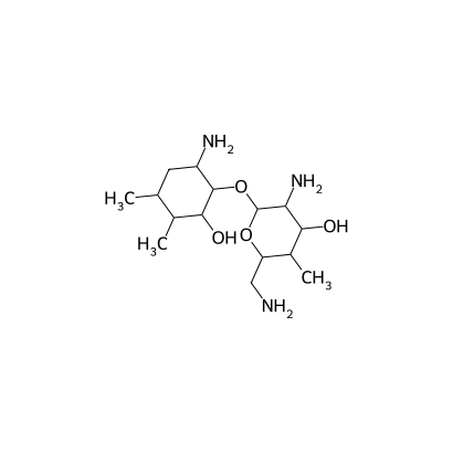 CC1CC(N)C(OC2OC(CN)C(C)C(O)C2N)C(O)C1C